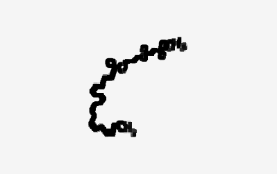 CC/C=C\C/C=C\C/C=C\C/C=C\C/C=C\CCCC(=O)OCCCOC(=O)/C=C/C(=O)OC